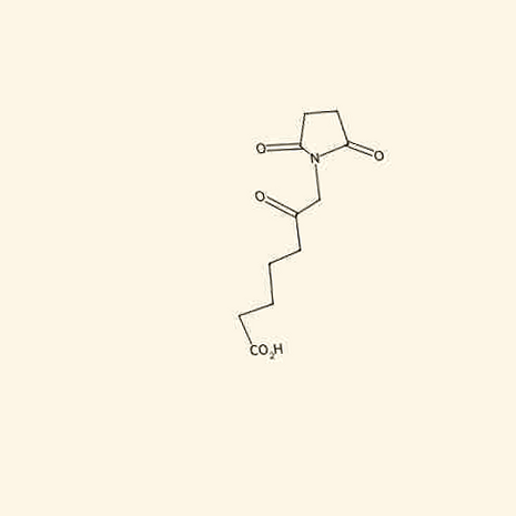 O=C(O)CCCCC(=O)CN1C(=O)CCC1=O